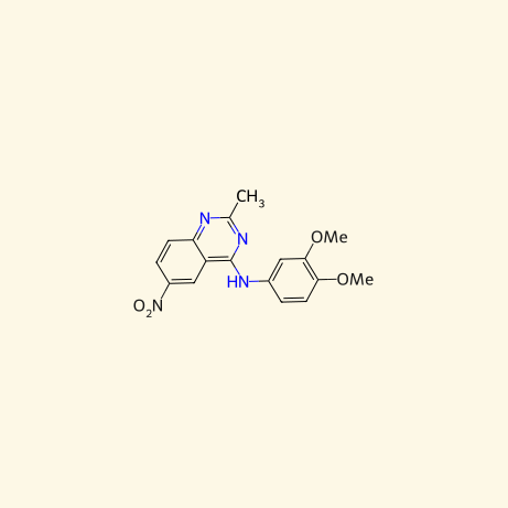 COc1ccc(Nc2nc(C)nc3ccc([N+](=O)[O-])cc23)cc1OC